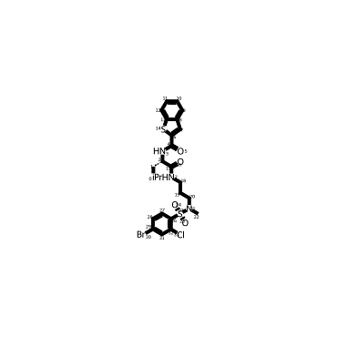 CC(C)C[C@H](NC(=O)c1cc2ccccc2s1)C(=O)NCCCN(C)S(=O)(=O)c1ccc(Br)cc1Cl